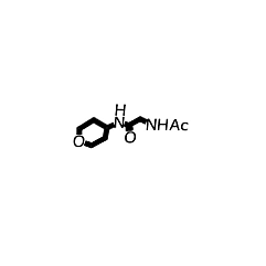 CC(=O)NCC(=O)NC1CCOCC1